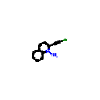 N[n+]1c(C#CBr)ccc2ccccc21